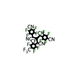 N#C/C(=C1C(C(C#N)c2c(F)c(F)c(C#N)c(F)c2F)=C\1C(C#N)c1c(F)c(F)c(C(F)(F)F)c(F)c1C(F)(F)F)c1c(F)c(F)c(C#N)c(F)c1F